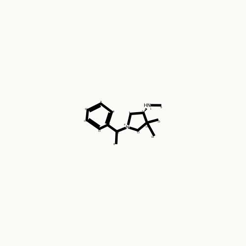 CN[C@H]1CN(C(C)c2ccccc2)CC1(C)C